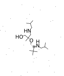 CC(C)CNCC(C)(CO)OC[C@H](NCC(C)C)C(C)(C)C